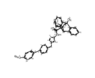 COc1ccc(-c2ccc(Cc3csc(NC(=O)C4(C)CC5(C#N)c6ccccc6C4c4ccccc45)n3)cc2)cn1